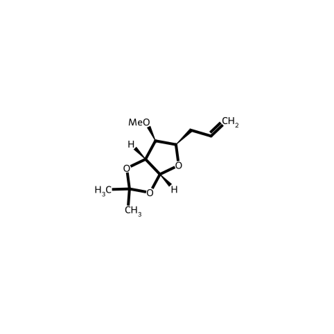 C=CC[C@H]1O[C@@H]2OC(C)(C)O[C@@H]2[C@H]1OC